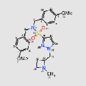 COc1ccc(CN(Cc2ccc(OC)cc2)S(=O)(=O)c2ccn(CC3CCN3C)n2)cc1